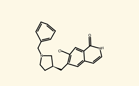 O=c1[nH]ccc2cc(C[C@H]3CCN(Cc4ccccc4)C3)c(Cl)cc12